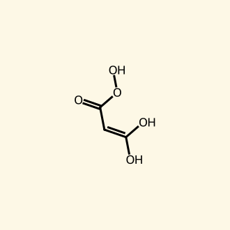 O=C(C=C(O)O)OO